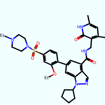 CCOc1cc(S(=O)(=O)N2CCN(CC)CC2)ccc1-c1cc(C(=O)NCc2c(C)cc(C)[nH]c2=O)c2cnn(C3CCCC3)c2c1